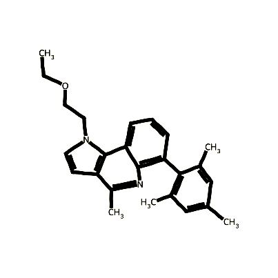 CCOCCn1ccc2c(C)nc3c(-c4c(C)cc(C)cc4C)cccc3c21